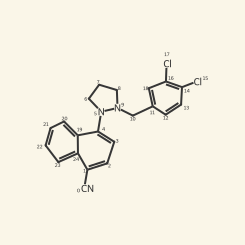 N#Cc1ccc(N2CCCN2Cc2ccc(Cl)c(Cl)c2)c2ccccc12